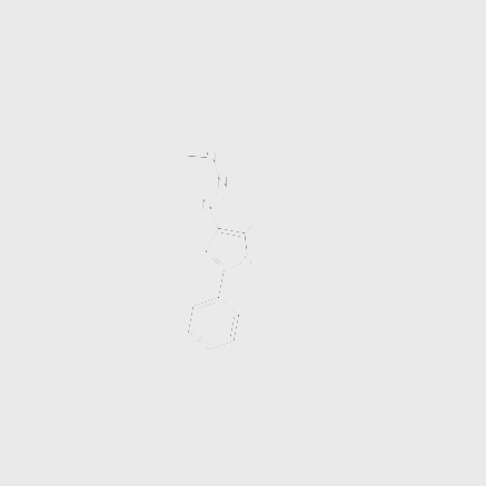 CN(C)/N=N/c1cc(-c2ccccc2)[se]c1C(=O)O